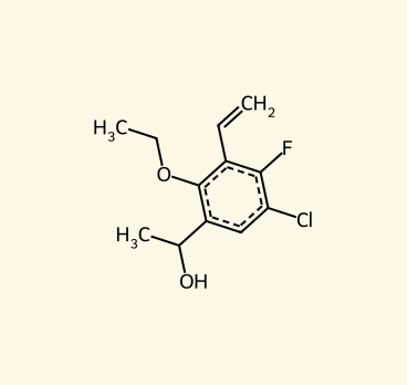 C=Cc1c(F)c(Cl)cc(C(C)O)c1OCC